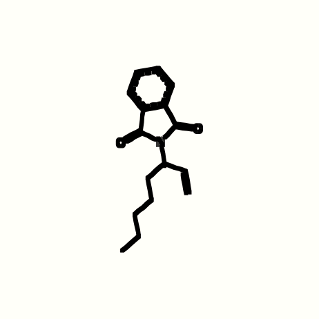 C=C[C](CCCCC)N1C(=O)c2ccccc2C1=O